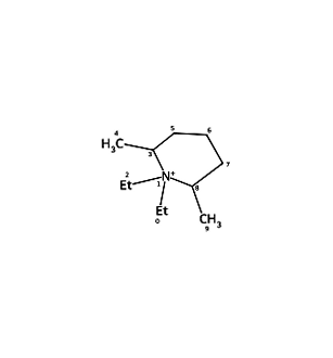 CC[N+]1(CC)C(C)CCCC1C